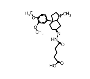 COc1ccc(C23CCC(=NNC(=O)CCCC(=O)O)CC2N(C)CC3)cc1OC